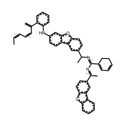 C=C(/C=C\C=C/C)c1ccccc1Nc1ccc2c(c1)oc1ccc(C(C)/N=C(\N=C(/C)c3ccc4sc5ccccc5c4c3)C3=CC=CCC3)cc12